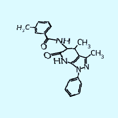 Cc1cccc(C(=O)NC2C(=O)Nc3c(c(C)nn3-c3ccccc3)C2C)c1